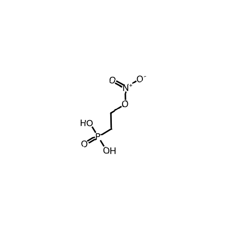 O=[N+]([O-])OCCP(=O)(O)O